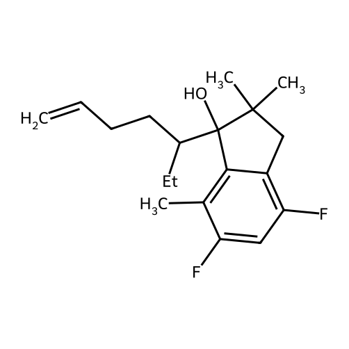 C=CCCC(CC)C1(O)c2c(C)c(F)cc(F)c2CC1(C)C